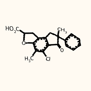 Cc1c(Cl)c2c(c3c1OC(C(=O)O)C3)CC(C)(c1ccccc1)C2=O